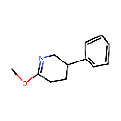 COC1=NCC(c2ccccc2)CC1